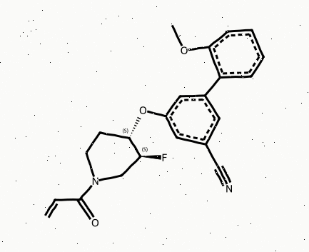 C=CC(=O)N1CC[C@H](Oc2cc(C#N)cc(-c3ccccc3OC)c2)[C@@H](F)C1